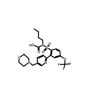 CCCCN(C(=O)O)S(=O)(=O)c1ccc(OC(F)(F)F)cc1-c1ccc(CN2CCOCC2)cn1